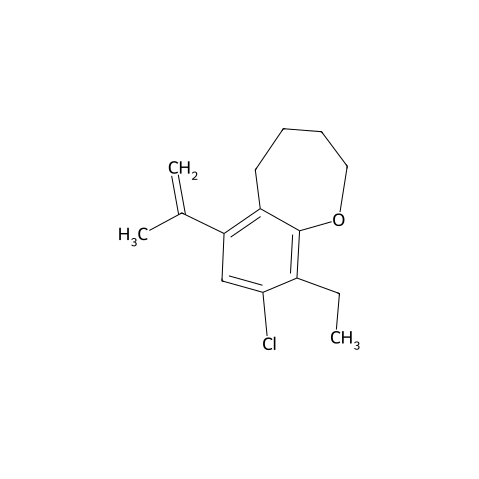 C=C(C)c1cc(Cl)c(CC)c2c1CCCCO2